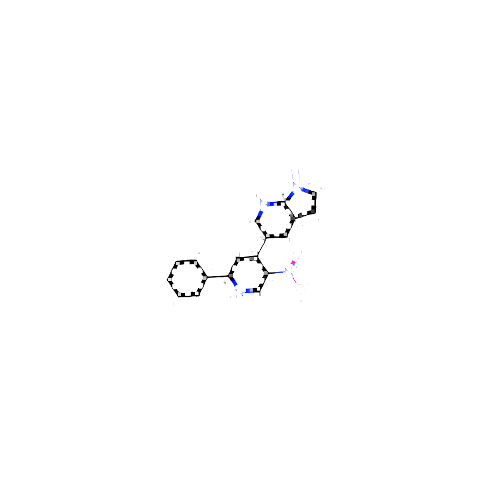 O=[N+]([O-])c1cnc(-c2ccccc2)cc1-c1cnc2[nH]ccc2c1